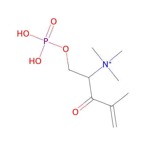 C=C(C)C(=O)C(COP(=O)(O)O)[N+](C)(C)C